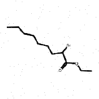 CCCCCCCC(Br)C(=O)OCC